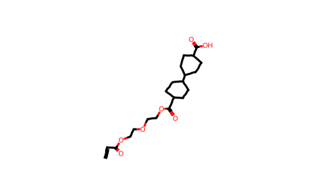 C=CC(=O)OCCOCCOC(=O)C1CCC(C2CCC(C(=O)O)CC2)CC1